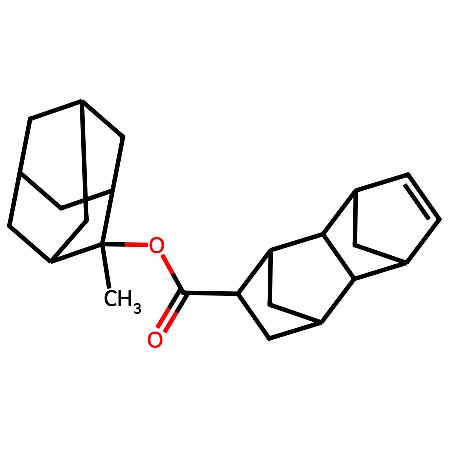 CC1(OC(=O)C2CC3CC2C2C4C=CC(C4)C32)C2CC3CC(C2)CC1C3